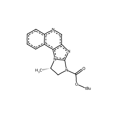 C[C@H]1CN(C(=O)OC(C)(C)C)c2nc3cnc4ccccc4c3n21